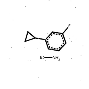 CCN.Fc1cccc(C2CC2)c1